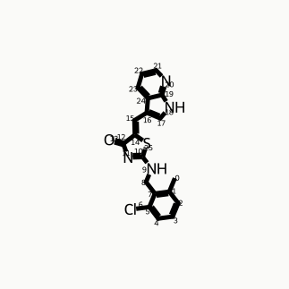 Cc1cccc(Cl)c1CNC1=NC(=O)/C(=C/c2c[nH]c3ncccc23)S1